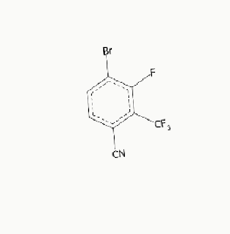 N#Cc1ccc(Br)c(F)c1C(F)(F)F